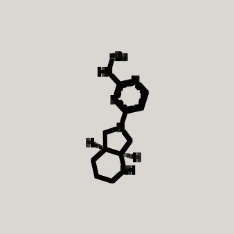 CCCCNc1nccc(N2C[C@@H]3CCCN[C@@H]3C2)n1